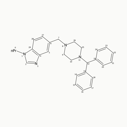 CCCn1cnc2cc(CN3CCN(C(c4ccccc4)c4ccccc4)CC3)ccc21